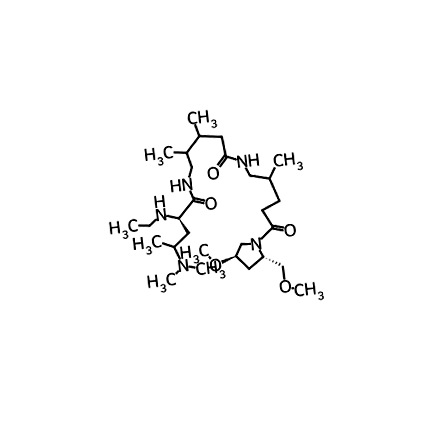 CCN[C@H](CC(C)N(C)C)C(=O)NCC(C)C(C)CC(=O)NCC(C)CCC(=O)N1C[C@H](OC)C[C@H]1COC